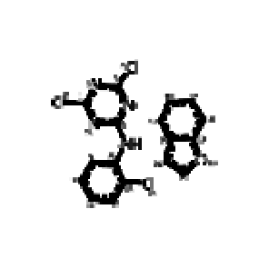 Clc1nc(Cl)nc(Nc2ccccc2Cl)n1.c1ccc2occc2c1